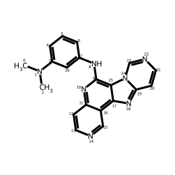 CN(C)c1cccc(Nc2nc3ccncc3c3nc4ccncn4c23)c1